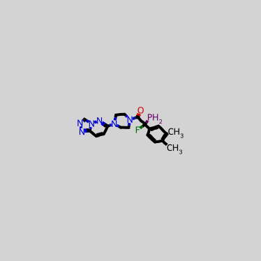 Cc1ccc(C(F)(P)C(=O)N2CCN(c3ccc4nncn4n3)CC2)cc1C